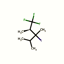 CC(C)C(C)(I)[C@@H](C)C(F)(F)F